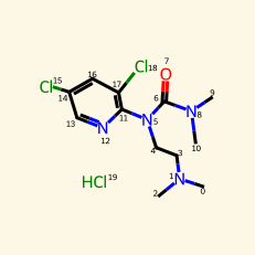 CN(C)CCN(C(=O)N(C)C)c1ncc(Cl)cc1Cl.Cl